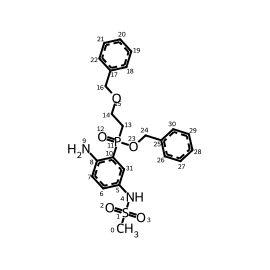 CS(=O)(=O)Nc1ccc(N)c(P(=O)(CCOCc2ccccc2)OCc2ccccc2)c1